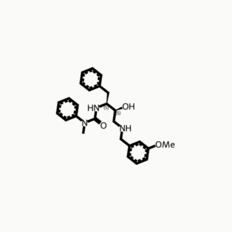 COc1cccc(CNC[C@H](O)[C@H](Cc2ccccc2)NC(=O)N(C)c2ccccc2)c1